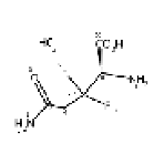 Cl.NC(=O)CC(F)(F)[C@H](N)C(=O)O